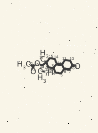 CC[C@H]1[C@@H]2CCC3=CC(=O)CCC3=C2CC[C@]1(C)COC(C)=O